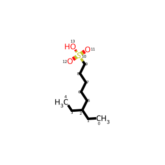 CCC(CC)CCCCCS(=O)(=O)O